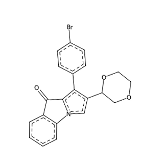 O=C1c2ccccc2-n2cc(C3COCCO3)c(-c3ccc(Br)cc3)c21